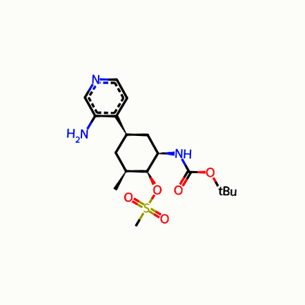 C[C@H]1C[C@@H](c2ccncc2N)C[C@@H](NC(=O)OC(C)(C)C)[C@H]1OS(C)(=O)=O